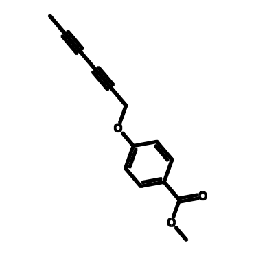 CC#CC#CCOc1ccc(C(=O)OC)cc1